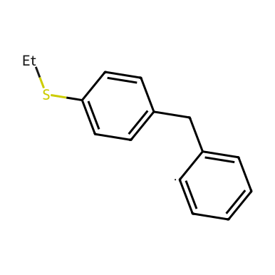 CCSc1ccc(Cc2[c]cccc2)cc1